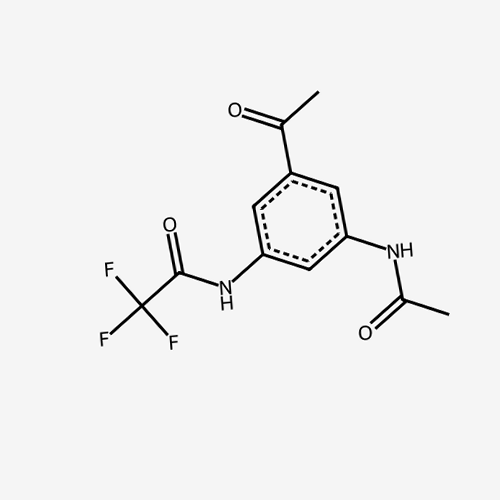 CC(=O)Nc1cc(NC(=O)C(F)(F)F)cc(C(C)=O)c1